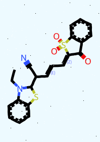 CCN1c2ccccc2SC1C(C#N)/C=C/C=C1/C(=O)c2ccccc2S1(=O)=O